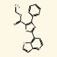 CCOC(=O)c1sc(-c2ccnc3ccsc23)nc1-c1ccccc1